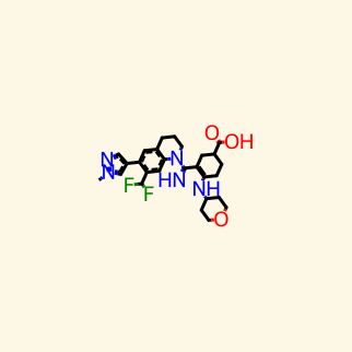 Cn1cc(-c2cc3c(cc2C(F)F)N(C(=N)C2=C(NC4CCOCC4)CCC(C(=O)O)C2)CCC3)cn1